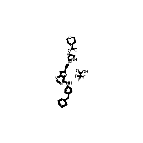 O=C(O)C(F)(F)F.O=C(O[C@H]1CN[C@H](C#Cc2cc3ncnc(Nc4ccc(Cc5ccccc5)cc4)c3s2)C1)N1CCOCC1